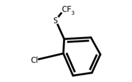 FC(F)(F)Sc1ccccc1Cl